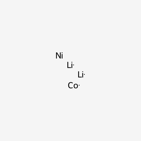 [Co].[Li].[Li].[Ni]